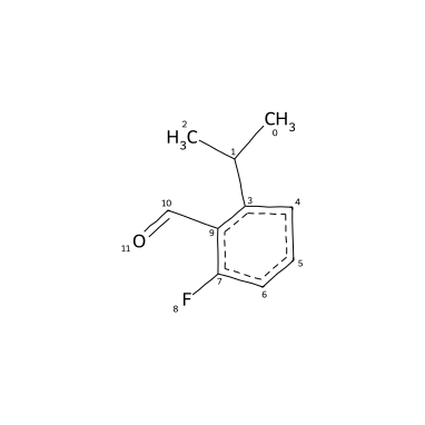 CC(C)c1cccc(F)c1C=O